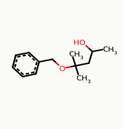 CC(O)CC(C)(C)OCc1ccccc1